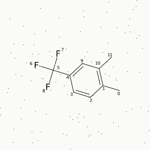 Cc1ccc(C(F)(F)F)cc1C